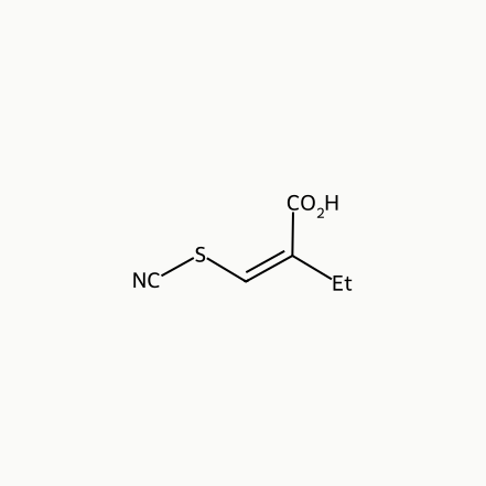 CC/C(=C/SC#N)C(=O)O